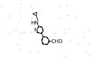 O=Cc1cccc(-c2ccc(NCC3CC3)nc2)c1